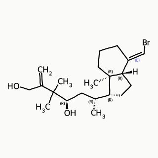 C=C(CO)C(C)(C)[C@H](O)C[C@@H](C)[C@H]1CC[C@H]2/C(=C/Br)CCC[C@]12C